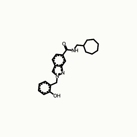 O=C(NCC1CCCCCC1)c1ccc2cn(Cc3ccccc3O)nc2c1